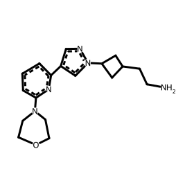 NCCC1CC(n2cc(-c3cccc(N4CCOCC4)n3)cn2)C1